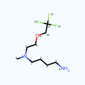 CN(CCCCN)CCOCC(F)(F)F